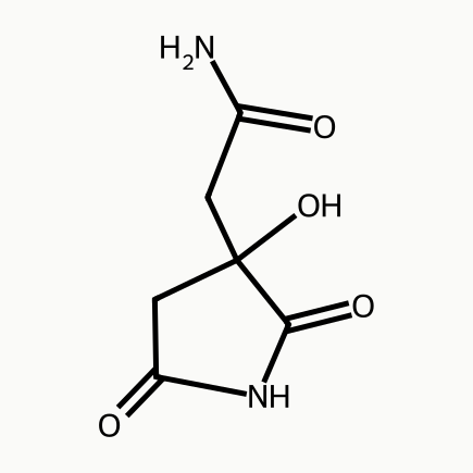 NC(=O)CC1(O)CC(=O)NC1=O